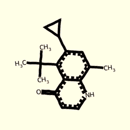 Cc1cc(C2CC2)c(C(C)(C)C)c2c(=O)cc[nH]c12